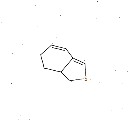 C1=CC2=CSCC2CC1